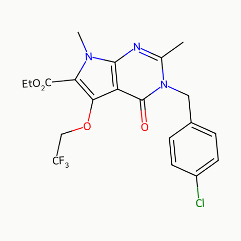 CCOC(=O)c1c(OCC(F)(F)F)c2c(=O)n(Cc3ccc(Cl)cc3)c(C)nc2n1C